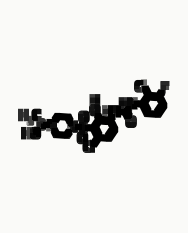 CB(O)N1CCN(S(=O)(=O)c2c(Cl)ccc(NC(=O)Nc3cccc(F)c3Cl)c2O)CC1